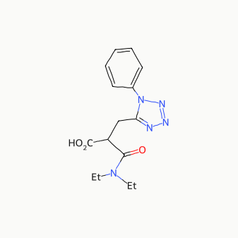 CCN(CC)C(=O)C(Cc1nnnn1-c1ccccc1)C(=O)O